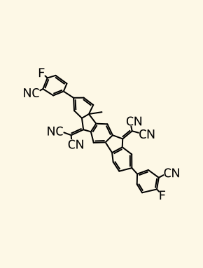 CC12C=CC(c3ccc(F)c(C#N)c3)=CC1C(=C(C#N)C#N)c1cc3c(cc12)C(=C(C#N)C#N)c1cc(-c2ccc(F)c(C#N)c2)ccc1-3